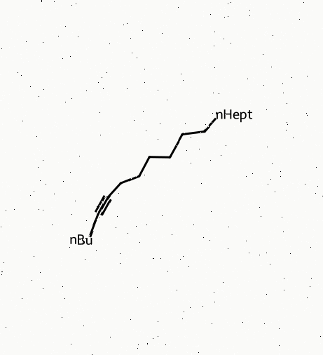 [CH2]CCCC#CCCCCCCCCCCCC[CH2]